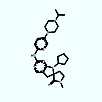 CC(C)N1CCN(c2ccc(Nc3ncc4c(n3)N(C3CCCC3)C3(CCN(C)C3=O)C4)nc2)CC1